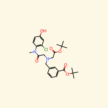 CN(C(=O)CN(CC(=O)OC(C)(C)C)Cc1cccc(C(=O)OC(C)(C)C)c1)c1ccc(O)cc1Cl